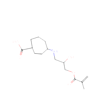 C=C(C)C(=O)OCC(O)CNC1CCCC(C(=O)O)CC1